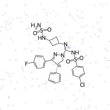 NS(=O)(=O)NC1CC(/N=C(/NS(=O)(=O)c2ccc(Cl)cc2)N2C[C@H](c3ccccc3)C(c3ccc(F)cc3)=N2)C1